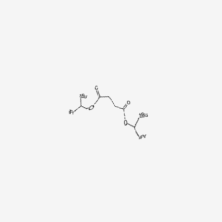 CC(C)C(OC(=O)CCC(=O)OC(C(C)C)C(C)(C)C)C(C)(C)C